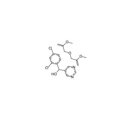 C=C(COCC(=C)OC)OC.OC(c1cncnc1)c1ccc(Cl)cc1Cl